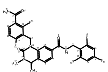 CC1c2ccc(C(=O)NCc3c(F)cc(F)cc3F)cc2N(Cc2c(F)ccc(C(N)=O)c2F)C(=O)N1C